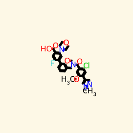 COc1cc(C(=O)N2COc3c(cccc3-c3cc(N4CCOCC4)c(C(=O)O)cc3F)C2)c(Cl)cc1-c1cnn(C)c1